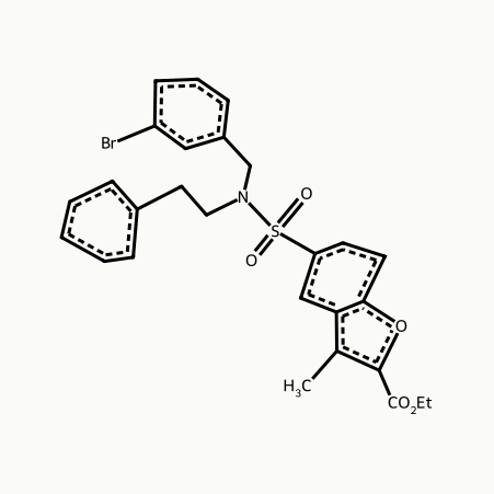 CCOC(=O)c1oc2ccc(S(=O)(=O)N(CCc3ccccc3)Cc3cccc(Br)c3)cc2c1C